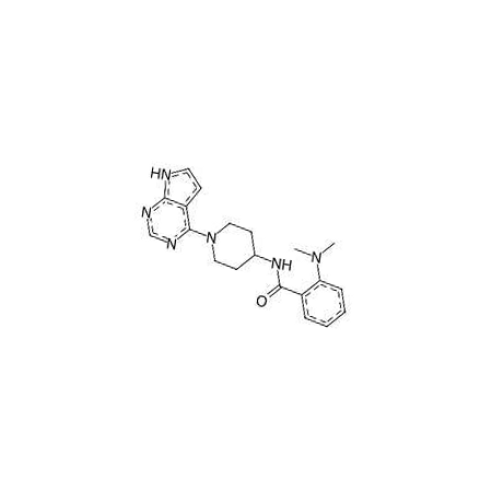 CN(C)c1ccccc1C(=O)NC1CCN(c2ncnc3[nH]ccc23)CC1